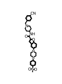 CS(=O)(=O)c1ccc(N2CCN(c3ccc4oc(C(=O)NC5CCN(Cc6ccc(C#N)cc6)CC5)cc4c3)CC2)cc1